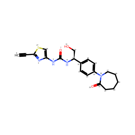 C#Cc1nc(NC(=O)N[C@@H](CO)c2ccc(N3CCCCCC3=O)cc2)cs1